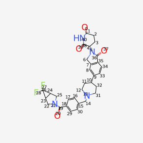 O=C1CCC(N2Cc3cc(C4CCN(Cc5ccc(C(=O)N6CC7C(C6)C7(F)F)cc5)CC4)ccc3C2=O)C(=O)N1